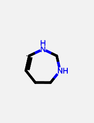 [C]1=CCCNCN1